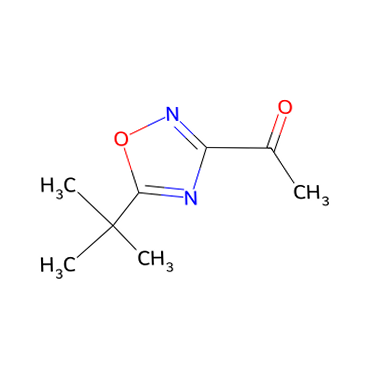 CC(=O)c1noc(C(C)(C)C)n1